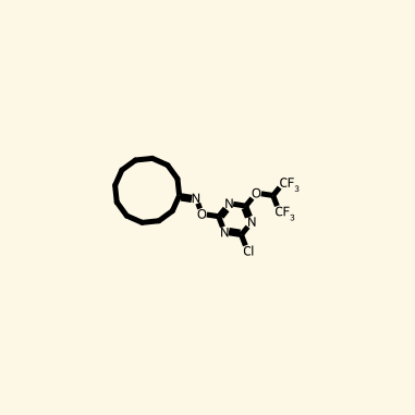 FC(F)(F)C(Oc1nc(Cl)nc(ON=C2CCCCCCCCCCC2)n1)C(F)(F)F